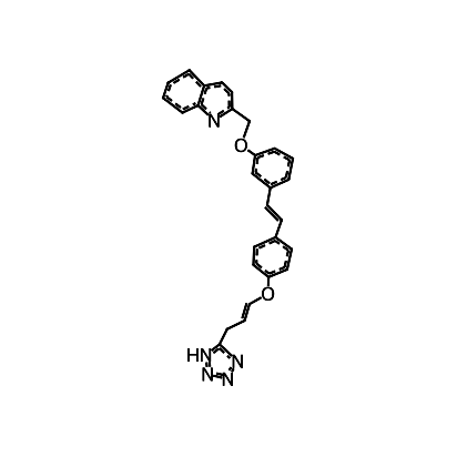 C(=C\Oc1ccc(/C=C/c2cccc(OCc3ccc4ccccc4n3)c2)cc1)/Cc1nnn[nH]1